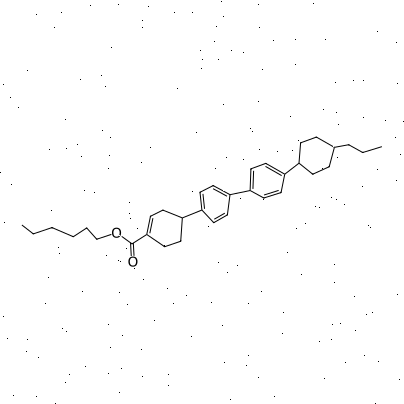 CCCCCCOC(=O)C1=CCC(c2ccc(-c3ccc(C4CCC(CCC)CC4)cc3)cc2)CC1